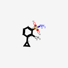 Cc1c(C2CC2)cccc1S(N)(=O)=O